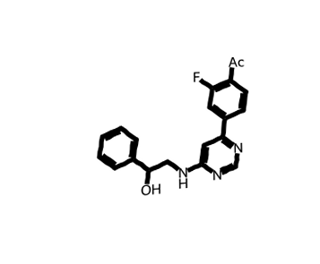 CC(=O)c1ccc(-c2cc(NCC(O)c3ccccc3)ncn2)cc1F